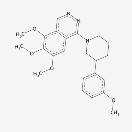 COc1cccc(C2CCCN(c3nncc4c(OC)c(OC)c(OC)cc34)C2)c1